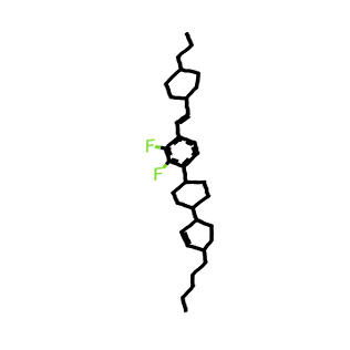 CCCCCC1C=CC(C2CCC(c3ccc(/C=C/C4CCC(CCC)CC4)c(F)c3F)CC2)CC1